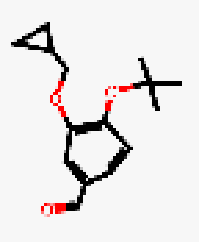 CC(C)(C)Oc1ccc(C=O)cc1OCC1CC1